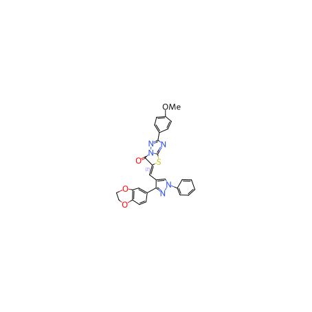 COc1ccc(-c2nc3s/c(=C\c4cn(-c5ccccc5)nc4-c4ccc5c(c4)OCCO5)c(=O)n3n2)cc1